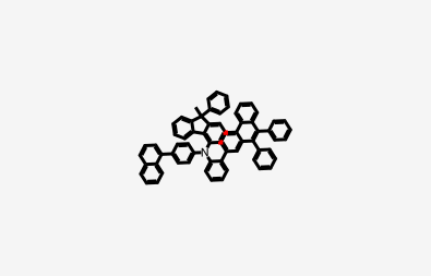 CC1(c2ccccc2)c2ccccc2-c2c(N(c3ccc(-c4cccc5ccccc45)cc3)c3ccccc3-c3ccc4c(c3)c(-c3ccccc3)c(-c3ccccc3)c3ccccc34)cccc21